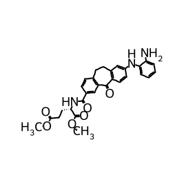 COC(=O)CC[C@H](NC(=O)c1ccc2c(c1)C(=O)c1ccc(Nc3ccccc3N)cc1CC2)C(=O)OC